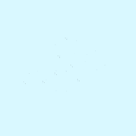 CC1CNCCN1c1ccc2nc(-c3ccc(F)cc3F)n(-c3ccncn3)c2n1